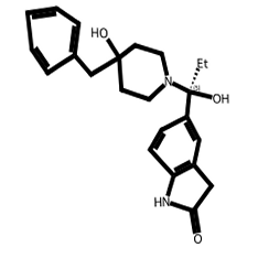 CC[C@](O)(c1ccc2c(c1)CC(=O)N2)N1CCC(O)(Cc2ccccc2)CC1